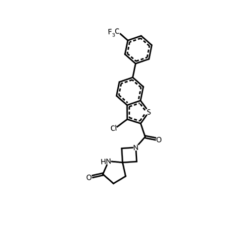 O=C1CCC2(CN(C(=O)c3sc4cc(-c5cccc(C(F)(F)F)c5)ccc4c3Cl)C2)N1